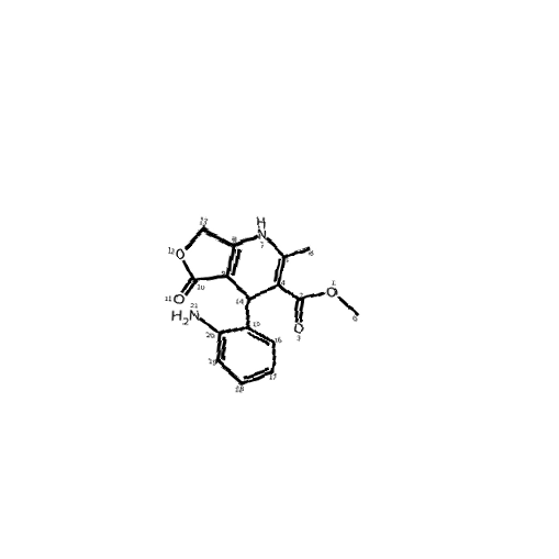 COC(=O)C1=C(C)NC2=C(C(=O)OC2)C1c1ccccc1N